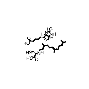 CC(C)=CCCC(C)=CCCC(C)=CCN[C@@H](CS)C(=O)O.O=C(O)CCCC[C@@H]1SC[C@@H]2NC(=O)N[C@@H]21